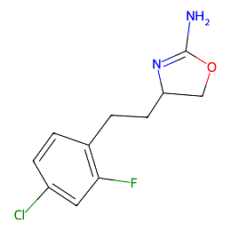 NC1=NC(CCc2ccc(Cl)cc2F)CO1